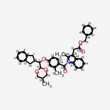 Cc1cc(OC(C2Cc3ccccc3C2)C2OCC(C)CO2)ccc1C(=O)n1c(C)c(CC(=O)OCc2ccccc2)c2ccccc21